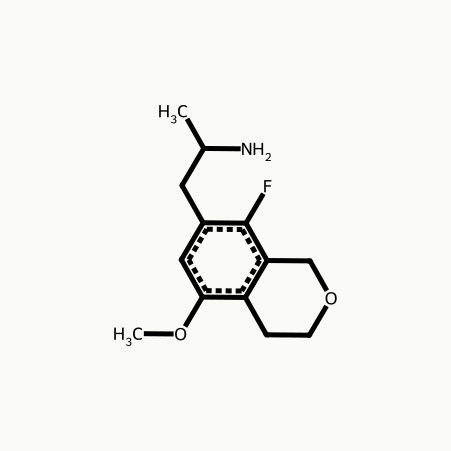 COc1cc(CC(C)N)c(F)c2c1CCOC2